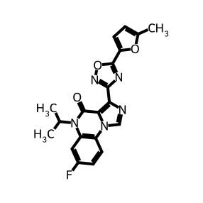 Cc1ccc(-c2nc(-c3ncn4c3c(=O)n(C(C)C)c3cc(F)ccc34)no2)o1